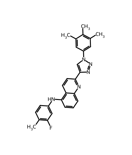 Cc1ccc(Nc2cccc3nc(-c4cn(-c5cc(C)c(C)c(C)c5)nn4)ccc23)cc1F